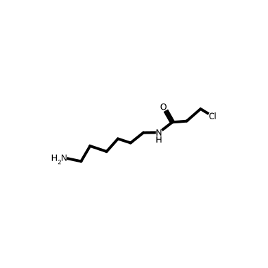 NCCCCCCNC(=O)CCCl